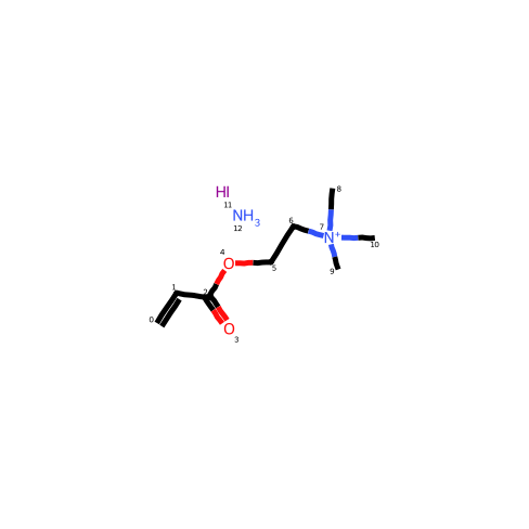 C=CC(=O)OCC[N+](C)(C)C.I.N